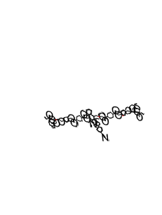 C=CC(=O)OCC(COc1ccc(OC(=O)C2CCC(C(=O)OCCc3c4ccccc4c(OC(=O)C4CCC(C(=O)Oc5ccc(OCC(COC(=O)C=C)OC(=O)C=C)cc5)CC4)c4nc(-c5ccc(C#N)cc5)sc34)CC2)cc1)OC(=O)C=C